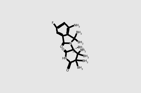 BC1(B)c2c(N)cc(F)cc2C(=O)N1[C@]1(B)C(=O)NC(=O)C(B)(B)C1(B)B